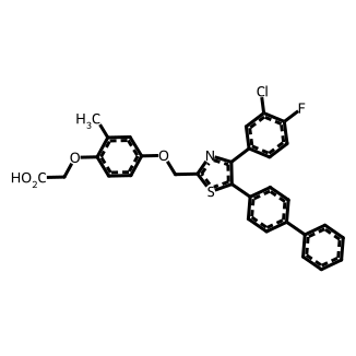 Cc1cc(OCc2nc(-c3ccc(F)c(Cl)c3)c(-c3ccc(-c4ccccc4)cc3)s2)ccc1OCC(=O)O